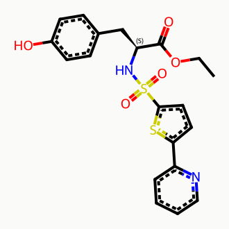 CCOC(=O)[C@H](Cc1ccc(O)cc1)NS(=O)(=O)c1ccc(-c2ccccn2)s1